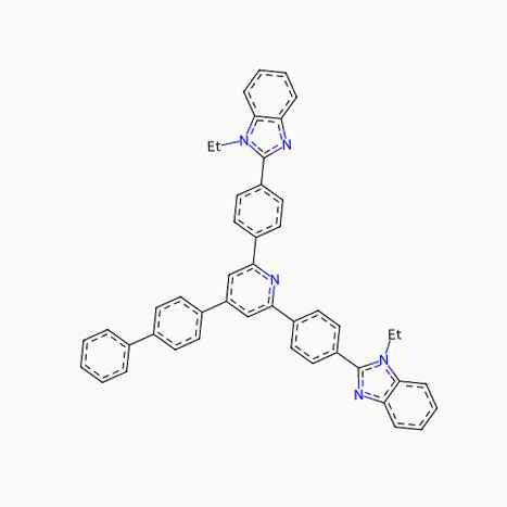 CCn1c(-c2ccc(-c3cc(-c4ccc(-c5ccccc5)cc4)cc(-c4ccc(-c5nc6ccccc6n5CC)cc4)n3)cc2)nc2ccccc21